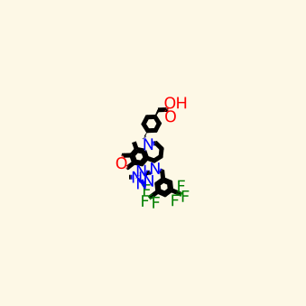 Cc1c2c(cc3c1N(C[C@H]1CC[C@H](CC(=O)O)CC1)CCC[C@@H]3N(Cc1cc(C(F)(F)F)cc(C(F)(F)F)c1)c1nnn(C)n1)COC2